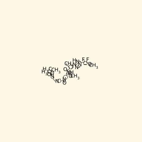 CCc1cc(Nc2nccn3c(-c4ccc(OC)c(F)c4F)cnc23)ccc1C(=O)NCC1(C(=O)OC)CCN(C(=O)C2CCN(CC3CN(C(=O)OC(C)(C)C)C3)CC2)CC1